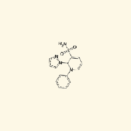 NS(=O)(=O)C1=CC=CN(c2ccccc2)C1n1cccn1